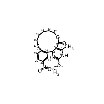 CSC1=NC2C(=C(C)N1)C(=O)OCCCCCSc1ccc([N+](=O)[O-])cc12